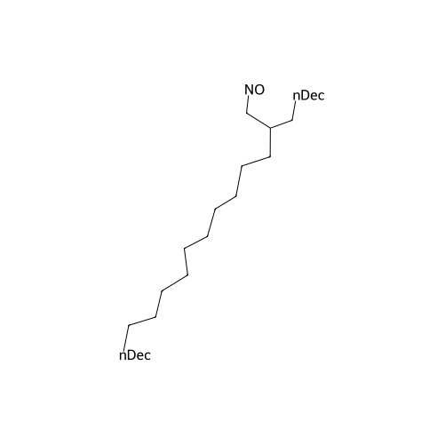 CCCCCCCCCCCCCCCCCCCCC(CCCCCCCCCCC)CN=O